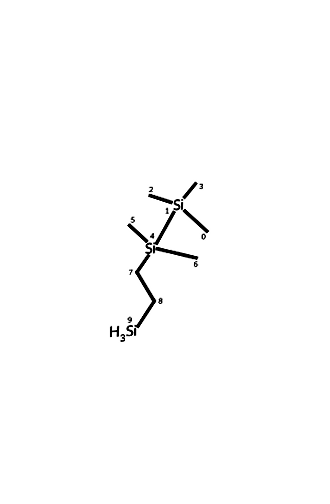 C[Si](C)(C)[Si](C)(C)CC[SiH3]